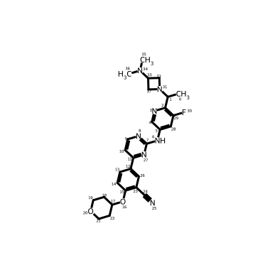 CC(c1ncc(Nc2nccc(-c3ccc(OC4CCOCC4)c(C#N)c3)n2)cc1F)N1CC(N(C)C)C1